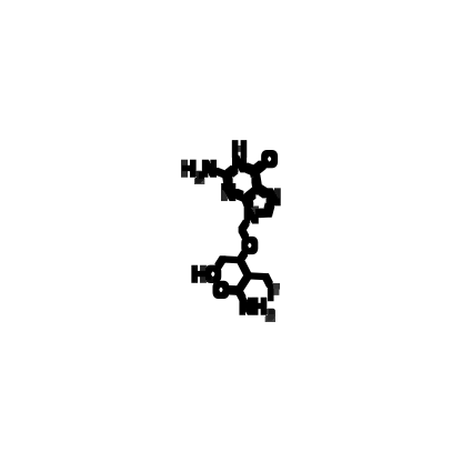 NC(=O)C(CF)C(CO)OCn1cnc2c(=O)[nH]c(N)nc21